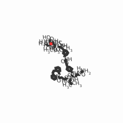 CN[C@@H](C(=O)N[C@H](C(=O)N(C)[C@H](/C=C(\C)C(=O)O)C(C)C)C(C)(C)C)C(C)(C)c1cccc(CNC(=O)OCc2ccc(NC(=O)[C@H](CCCNC(N)=O)NC(=O)[C@@H](NC(=O)CCC(=O)N3Cc4ccccc4CCc4ccccc43)C(C)C)cc2)c1